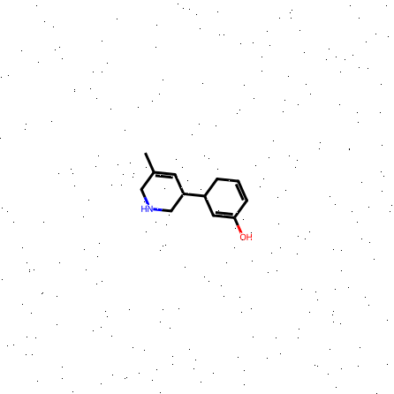 CC1=CC(C2C=C(O)C=CC2)CNC1